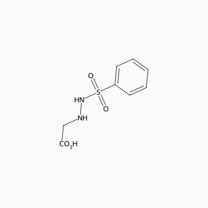 O=C(O)CNNS(=O)(=O)c1ccccc1